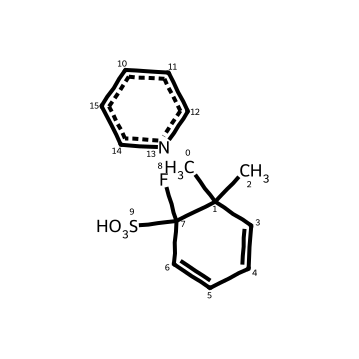 CC1(C)C=CC=CC1(F)S(=O)(=O)O.c1ccncc1